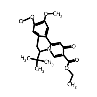 CCOC(=O)c1cn2c(cc1=O)-c1cc(OC)c(OCl)cc1CC2C(C)(C)C